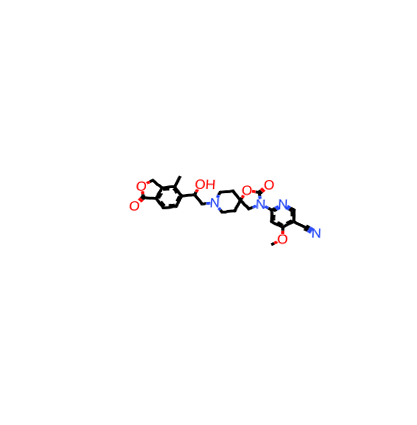 COc1cc(N2CC3(CCN(CC(O)c4ccc5c(c4C)COC5=O)CC3)OC2=O)ncc1C#N